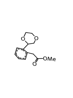 COC(=O)Cc1ccccc1C1COCCO1